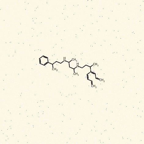 C=C/C=C\C(=C/C=C)C(C)CCNC(C)CC(C)NCCC(C)c1ccccc1